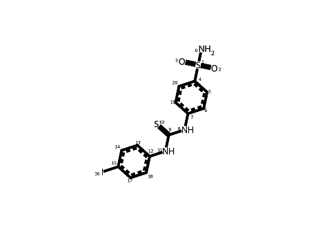 NS(=O)(=O)c1ccc(NC(=S)Nc2ccc(I)cc2)cc1